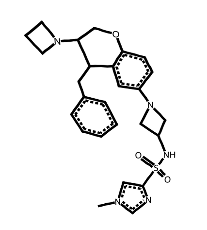 Cn1cnc(S(=O)(=O)NC2CN(c3ccc4c(c3)C(Cc3ccccc3)C(N3CCC3)CO4)C2)c1